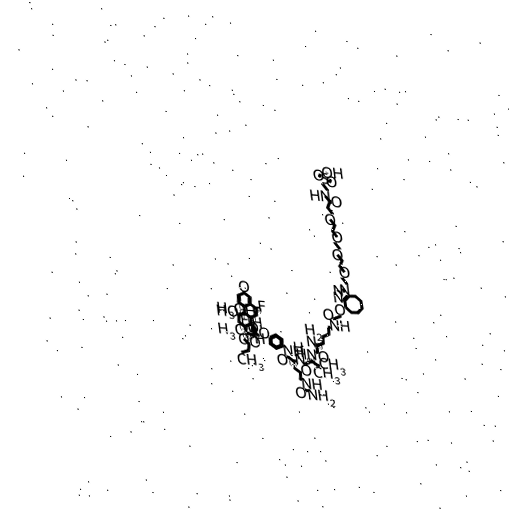 CCCC1O[C@@H]2C[C@H]3[C@@H]4C[C@H](F)C5=CC(=O)C=C[C@]5(C)[C@@]4(F)[C@@H](O)C[C@]3(C)[C@]2(C(=O)COc2ccc(NC(=O)[C@H](CCCNC(N)=O)NC(=O)[C@@H](NC(=O)[C@H](N)CCCCNC(=O)COC3CCCCCc4c3nnn4CCOCCOCCOCCOCCC(=O)NCCS(=O)(=O)O)C(C)C)cc2)O1